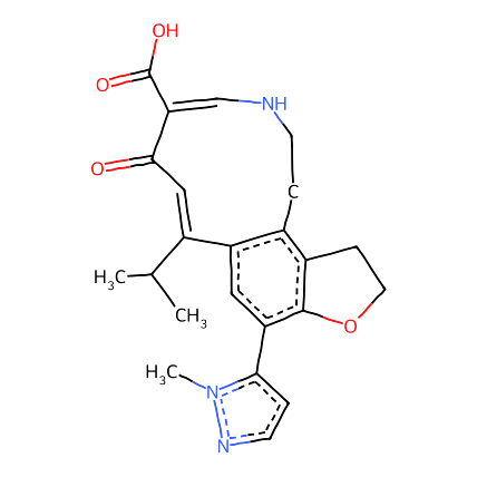 CC(C)/C1=C\C(=O)/C(C(=O)O)=C\NCCc2c1cc(-c1ccnn1C)c1c2CCO1